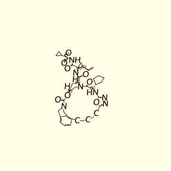 C=C[C@@H]1C[C@]1(NC(=O)[C@@H]1C[C@@H]2CN1C(=O)[C@H](C1CCCC1)Nc1nnc(o1)CCCCCc1cccc3c1CN(C3)C(=O)O2)C(=O)NS(=O)(=O)C1CC1